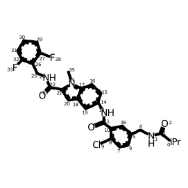 CC(C)C(=O)NCc1ccc(Cl)c(C(=O)Nc2ccc3c(c2)cc(C(=O)NCc2c(F)cccc2F)n3C)c1